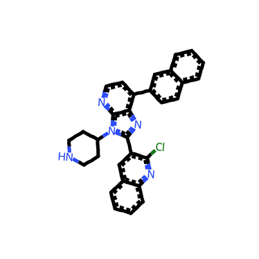 Clc1nc2ccccc2cc1-c1nc2c(-c3ccc4ccccc4c3)ccnc2n1C1CCNCC1